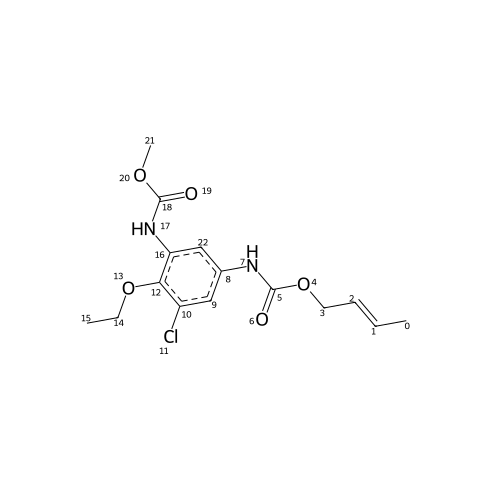 CC=CCOC(=O)Nc1cc(Cl)c(OCC)c(NC(=O)OC)c1